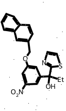 CCC(O)(c1cc(OCc2ccc3ccccc3c2)cc([N+](=O)[O-])c1)c1nccs1